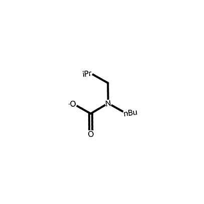 CCCCN(CC(C)C)C([O])=O